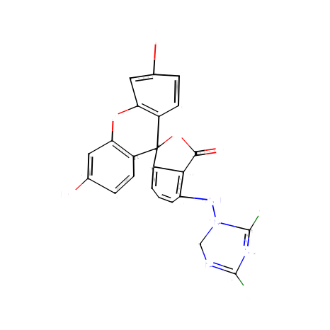 O=C1OC2(c3ccc(O)cc3Oc3cc(O)ccc32)c2cccc(NN3CN=C(Cl)N=C3Cl)c21